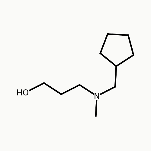 CN(CCCO)CC1CCCC1